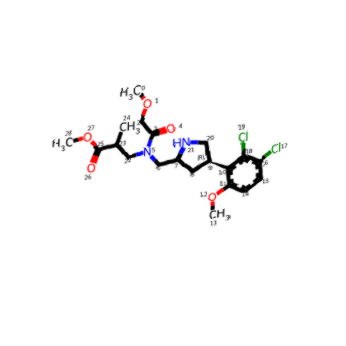 COCC(=O)N(CC1C[C@H](c2c(OC)ccc(Cl)c2Cl)CN1)CC(C)C(=O)OC